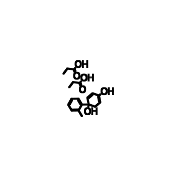 CCC(=O)O.CCC(=O)O.Cc1ccccc1C1(O)C=CC(O)=CC1